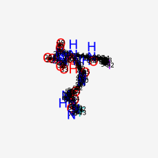 C/C(=C\CCCCC(NC(=O)CN1CCN(COC=O)CCN(COC=O)CCN(CC(=O)O)CC1)C(=O)NCCCCCC(=O)N1CCN(CCCCOc2ccc3nccc(C(=O)NCC(=O)N4CC(C)(F)C[C@@H]4C#N)c3c2)CC1)NC(=O)CCCc1ccc(I)cc1